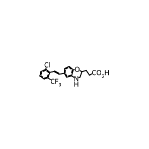 O=C(O)CCC1CNc2cc(C=Cc3c(Cl)cccc3C(F)(F)F)ccc2O1